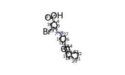 O=C(O)c1ccc(/C=C/c2ccc(-c3cc4c(ccc5ccccc54)o3)cc2)c(Br)c1